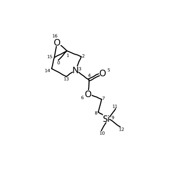 CC12CN(C(=O)OCC[Si](C)(C)C)CCC1O2